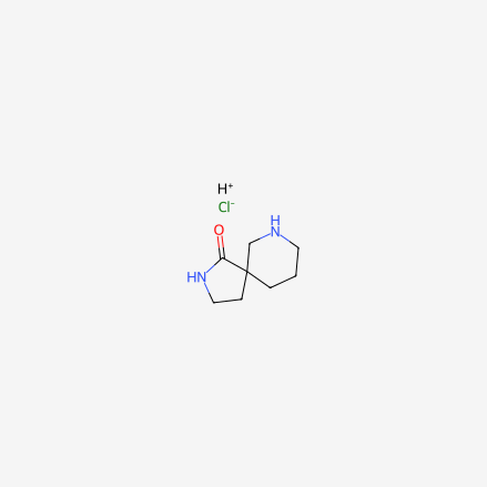 O=C1NCCC12CCCNC2.[Cl-].[H+]